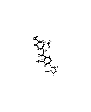 CN1CCN=C1c1ccc(C(=O)Nc2ccc(Cl)cc2N(C)C)c(F)c1